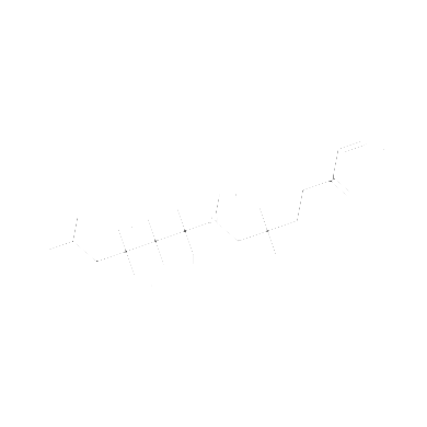 C=CC(=O)CCC(F)(F)CN(C)C(F)(F)C(F)(F)C(C)(C)CC(F)F